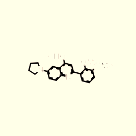 COc1cccc(-c2cc(C=O)c3cc(N4CCCC4)ccc3n2)c1OC